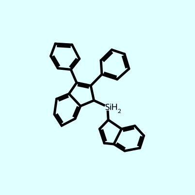 C1=CC([SiH2]C2C(c3ccccc3)=C(c3ccccc3)c3ccccc32)c2ccccc21